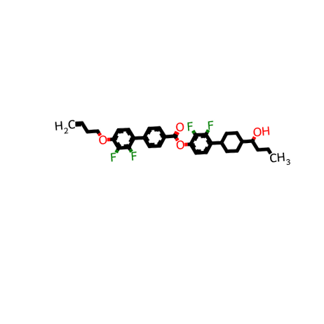 C=CCCOc1ccc(-c2ccc(C(=O)Oc3ccc(C4CCC(C(O)CCC)CC4)c(F)c3F)cc2)c(F)c1F